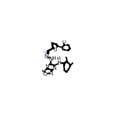 Cc1cccc(Nc2nc3nonc3nc2N/N=C\c2ccc(-c3ccccc3Cl)o2)c1C